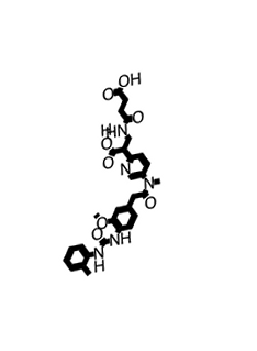 COc1cc(CC(=O)N(C)c2ccc(C(CNC(=O)CCC(=O)O)C(=O)O)nc2)ccc1NC(=O)Nc1ccccc1C